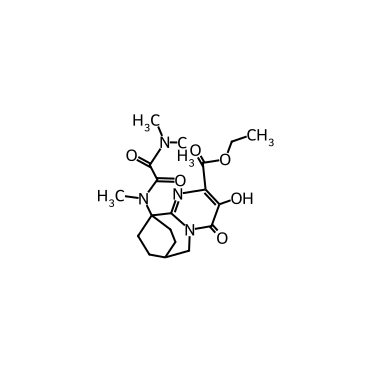 CCOC(=O)c1nc2n(c(=O)c1O)CC1CCC2(N(C)C(=O)C(=O)N(C)C)CC1